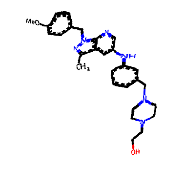 COc1ccc(Cn2nc(C)c3cc(Nc4cccc(CN5CCN(CCO)CC5)c4)cnc32)cc1